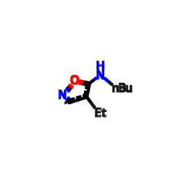 CCCCNc1on[c]c1CC